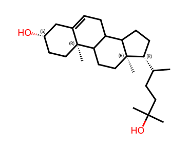 CC(CCC(C)(C)O)[C@H]1CCC2C3CC=C4C[C@@H](O)CC[C@]4(C)C3CC[C@@]21C